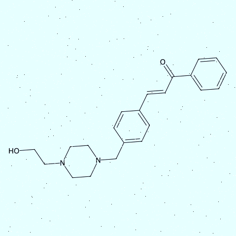 O=C(/C=C/c1ccc(CN2CCN(CCO)CC2)cc1)c1ccccc1